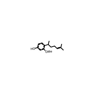 COc1cc(O)ccc1C(C)CCC=C(C)C